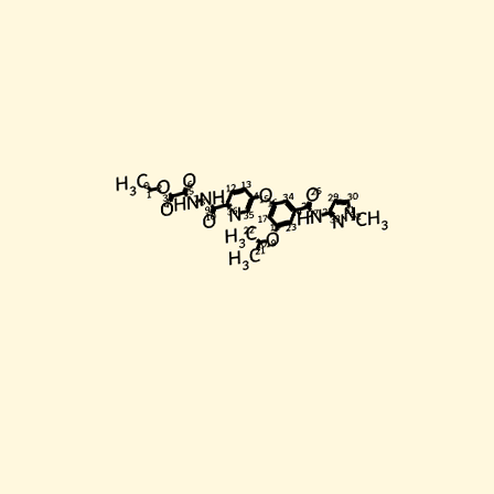 CCOC(=O)C(=O)NNC(=O)c1ccc(Oc2cc(OC(C)C)cc(C(=O)Nc3ccn(C)n3)c2)cn1